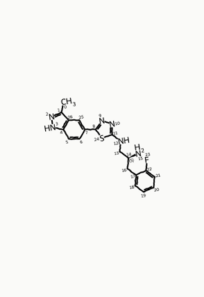 Cc1n[nH]c2ccc(-c3nnc(NC[C@@H](N)Cc4ccccc4F)s3)cc12